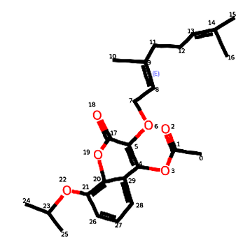 CC(=O)Oc1c(OC/C=C(\C)CCC=C(C)C)c(=O)oc2c(OC(C)C)cccc12